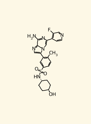 Cc1ccc(S(=O)(=O)N[C@H]2CC[C@H](O)CC2)cc1-c1cnc2c(N)nc(-c3ccncc3F)cn12